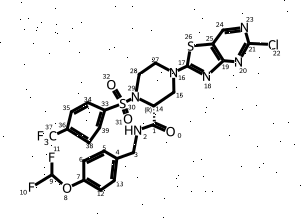 O=C(NCc1ccc(OC(F)F)cc1)[C@H]1CN(c2nc3nc(Cl)ncc3s2)CCN1S(=O)(=O)c1ccc(C(F)(F)F)cc1